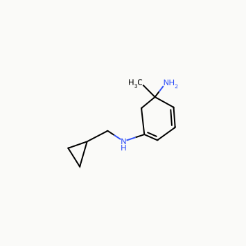 CC1(N)C=CC=C(NCC2CC2)C1